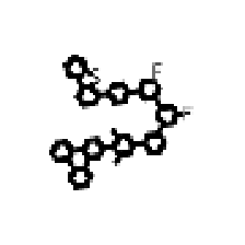 Cc1cc(-c2cccc(-c3cc(F)cc(-c4cc(F)cc(-c5ccc(-c6cccc7c6sc6ccccc67)cc5)c4)c3)c2)cc(C)c1-c1ccc2c3ccccc3c3ccccc3c2c1